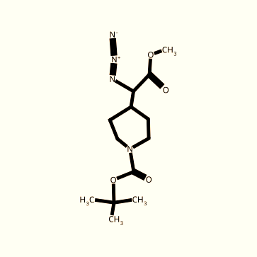 COC(=O)C(N=[N+]=[N-])C1CCN(C(=O)OC(C)(C)C)CC1